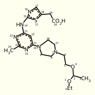 CCOC(C)OCCN1CCN(c2cc(Nc3ncc(CC(=O)O)s3)nc(C)n2)CC1